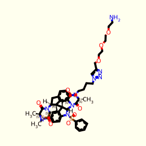 CN1C(=O)[C@@]23C[C@]4([C@]56C[C@@]78SS[C@@](C)(C(=O)N7[C@H]5N(S(=O)(=O)c5ccccc5)c5ccccc56)N(CCCCn5cc(COCCOCCOCCN)nn5)C8=O)c5ccccc5C[C@@H]4N2C(=O)[C@]1(C)SS3